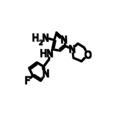 Nc1cnc(N2CCOCC2)cc1NCc1ccc(F)cn1